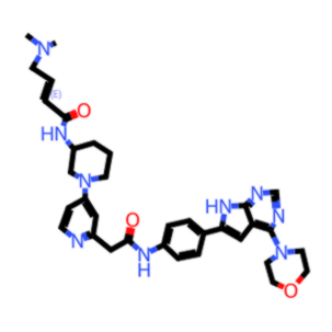 CN(C)C/C=C/C(=O)NC1CCCN(c2ccnc(CC(=O)Nc3ccc(-c4cc5c(N6CCOCC6)ncnc5[nH]4)cc3)c2)C1